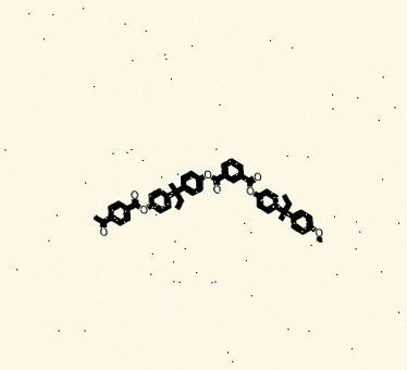 CCC(C)(c1ccc(OC)cc1)c1ccc(OC(=O)c2cccc(C(=O)Oc3ccc(C(C)(CC)c4ccc(OC(=O)c5ccc(C(C)=O)cc5)cc4)cc3)c2)cc1